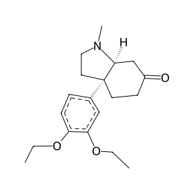 CCOc1ccc([C@@]23CCC(=O)C[C@@H]2N(C)CC3)cc1OCC